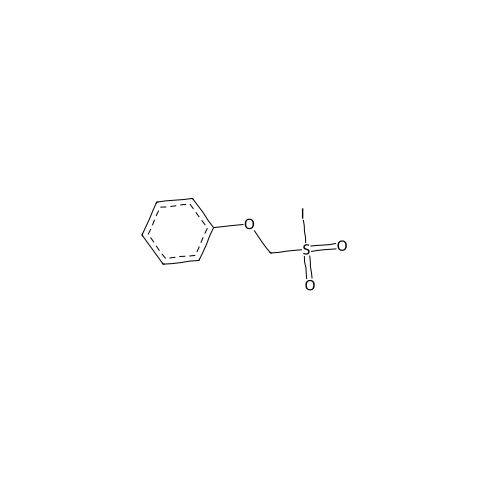 O=S(=O)(I)COc1ccccc1